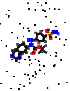 CC(C)(C)OC(=O)N(Nc1ccc(S(N)(=O)=O)cc1)c1ccc2cncnc2c1